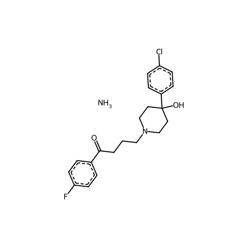 N.O=C(CCCN1CCC(O)(c2ccc(Cl)cc2)CC1)c1ccc(F)cc1